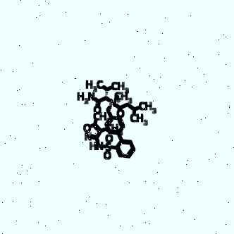 Cc1onc(NS(=O)(=O)c2ccccc2-c2ccc(C[N+](C)(C(=O)CC(C)C)[C@H](C(N)=O)C(C)C)cc2)c1C